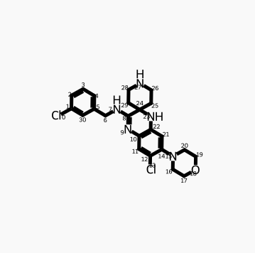 Clc1cccc(CNC2=Nc3cc(Cl)c(N4CCOCC4)cc3NC23CCNCC3)c1